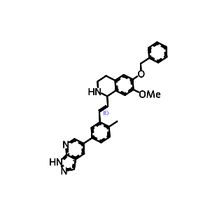 COc1cc2c(cc1OCc1ccccc1)CCNC2/C=C/c1cc(-c2cnc3[nH]ncc3c2)ccc1C